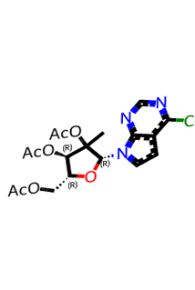 CC(=O)OC[C@H]1O[C@@H](n2ccc3c(Cl)ncnc32)C(C)(OC(C)=O)[C@@H]1OC(C)=O